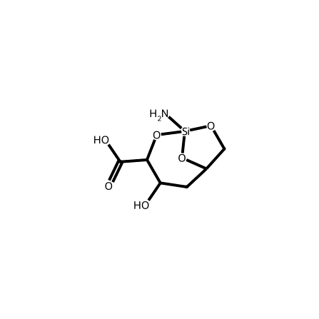 N[Si]12OCC(CC(O)C(C(=O)O)O1)O2